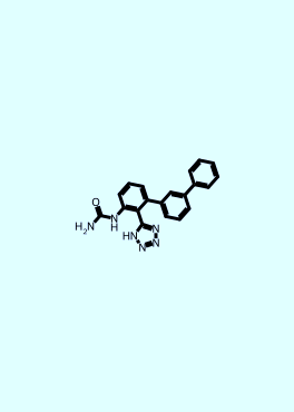 NC(=O)Nc1cccc(-c2cccc(-c3ccccc3)c2)c1-c1nnn[nH]1